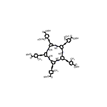 [C-]#[N+]/C1=C\c2cc(C#Cc3ccc(C(=O)OC)cc3C)cc(c2)/C(C#N)=C/c2cc(C#Cc3ccc(C(=O)OC)cc3OCCCCCCCC)cc(c2)/C(C#N)=C/c2cc(C#Cc3ccc(C(=O)OC)cc3OCCCCCCCC)cc(c2)/C(C#N)=C/c2cc(C#Cc3ccc(C(=O)OC)cc3C)cc(c2)/C(C#N)=C/c2cc(C#Cc3ccc(C(=O)OC)cc3C)cc1c2